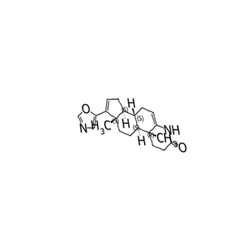 C[C@]12CCC(=O)NC1=CC[C@@H]1[C@@H]2CC[C@]2(C)C(c3cnco3)=CC[C@@H]12